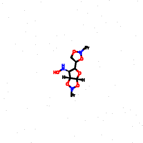 CC(C)N1O[C@H]2O[C@H]([C@H]3CON(C(C)C)O3)[C@@H](NO)[C@H]2O1